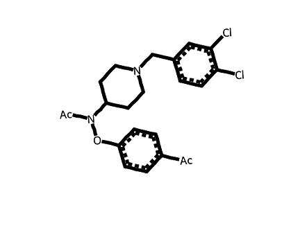 CC(=O)c1ccc(ON(C(C)=O)C2CCN(Cc3ccc(Cl)c(Cl)c3)CC2)cc1